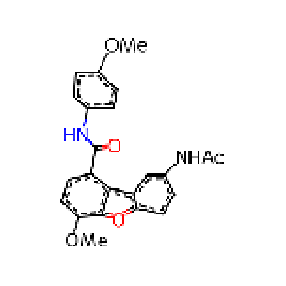 COc1ccc(NC(=O)c2ccc(OC)c3oc4ccc(NC(C)=O)cc4c23)cc1